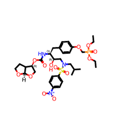 CCOP(=O)(COc1ccc(C[C@H](NC(=O)O[C@H]2CO[C@H]3OCCC32)[C@H](O)CN(CC(C)C)S(=O)(=O)c2ccc([N+](=O)[O-])cc2)cc1)OCC